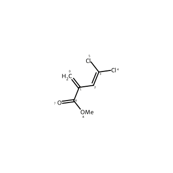 C=C(C=C(Cl)Cl)C(=O)OC